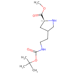 COC(=O)[C@@H]1CC(CCNC(=O)OC(C)(C)C)CN1